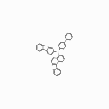 c1ccc(-c2ccc(N(c3ccc4c(c3)sc3ccccc34)c3cccc4c3ccc3oc5ccccc5c34)cc2)cc1